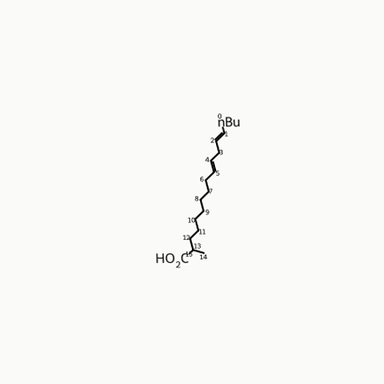 CCCCC=CCC=CCCCCCCCC(C)C(=O)O